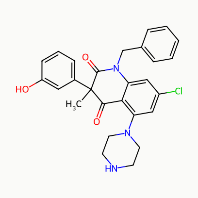 CC1(c2cccc(O)c2)C(=O)c2c(N3CCNCC3)cc(Cl)cc2N(Cc2ccccc2)C1=O